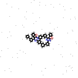 c1ccc(-c2cccc(-c3nc(-c4ccc(-c5cccc(-c6cccc(-c7nc(-c8cccc(-c9ccccc9)c8)c8c(n7)oc7ccccc78)c6)c5)cc4)nc4oc5ccccc5c34)c2)cc1